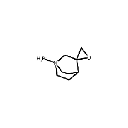 [BH3-][N+]12CCC(CC1)C1(CO1)C2